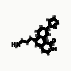 NCCCc1cc2cc[nH]c(=O)c2c2cc(-n3ccnn3)ccc12